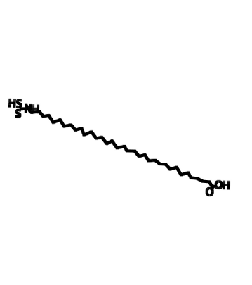 O=C(O)CCCCCCCCCCCCCCCCCCCCCCCCCCCCCCCCCCNC(=S)S